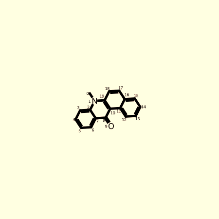 Cn1c2ccccc2c(=O)c2c3ccccc3ccc21